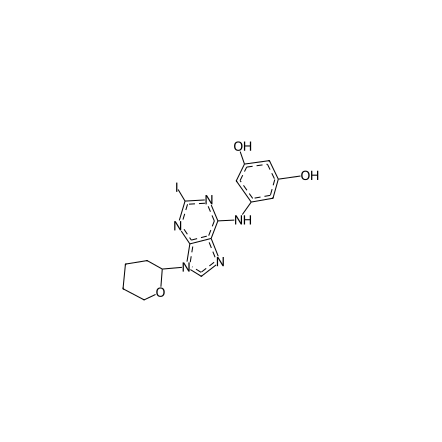 Oc1cc(O)cc(Nc2nc(I)nc3c2ncn3C2CCCCO2)c1